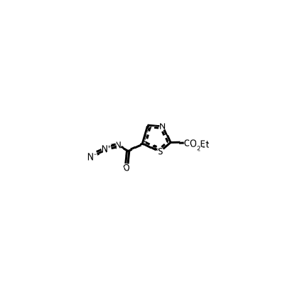 CCOC(=O)c1ncc(C(=O)N=[N+]=[N-])s1